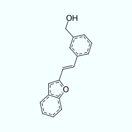 OCc1cccc(C=Cc2cc3ccccc3o2)c1